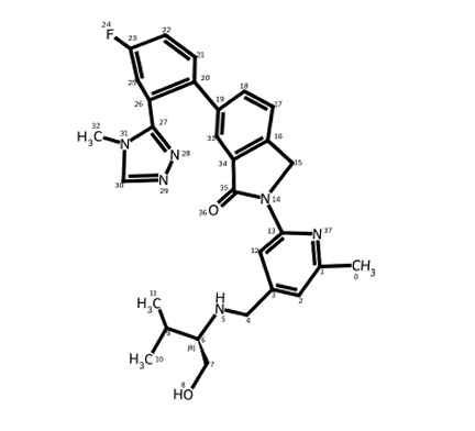 Cc1cc(CN[C@@H](CO)C(C)C)cc(N2Cc3ccc(-c4ccc(F)cc4-c4nncn4C)cc3C2=O)n1